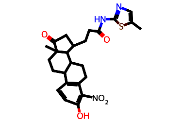 Cc1cnc(NC(=O)CCC2CC(=O)C3(C)CCC4c5ccc(O)c([N+](=O)[O-])c5CCC4C23)s1